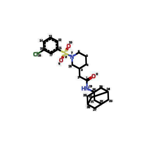 O=C(CC1CCCN(S(=O)(=O)c2cccc(Cl)c2)C1)NC12CC3CC(CC(C3)C1)C2